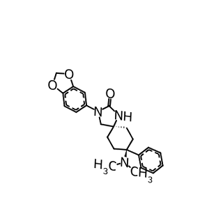 CN(C)[C@]1(c2ccccc2)CC[C@]2(CC1)CN(c1ccc3c(c1)OCO3)C(=O)N2